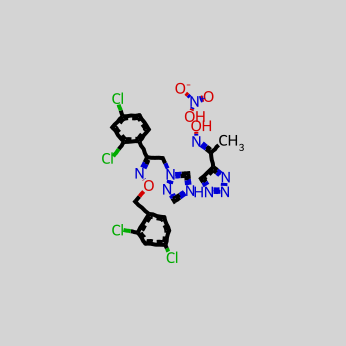 CC(=NO)c1c[nH]nn1.Clc1ccc(CON=C(Cn2cncn2)c2ccc(Cl)cc2Cl)c(Cl)c1.O=[N+]([O-])O